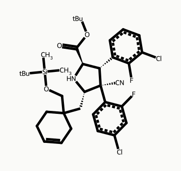 CC(C)(C)OC(=O)[C@@H]1N[C@@H](CC2(CO[Si](C)(C)C(C)(C)C)CC=CCC2)[C@](C#N)(c2ccc(Cl)cc2F)[C@H]1c1cccc(Cl)c1F